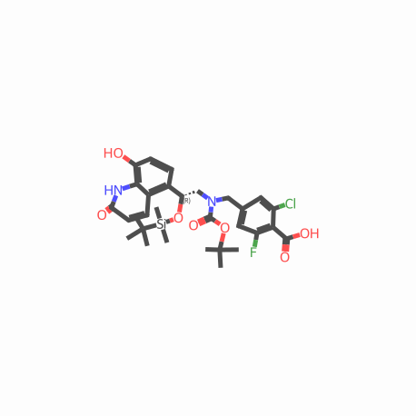 CC(C)(C)OC(=O)N(Cc1cc(F)c(C(=O)O)c(Cl)c1)C[C@H](O[Si](C)(C)C(C)(C)C)c1ccc(O)c2[nH]c(=O)ccc12